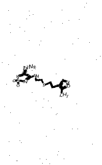 CNC1=NS(=O)(=O)N=C1NCCSCCc1cnoc1C